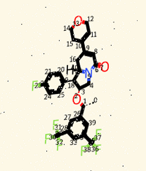 C[C@@H](O[C@H]1CN2C(=O)C=C(C3=CCOCC3)C[C@H]2[C@@H]1c1ccc(F)cc1)c1cc(C(F)(F)F)cc(C(F)(F)F)c1